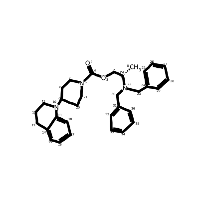 C[C@@H](COC(=O)N1CCC(N2CCCc3ccccc32)CC1)N(Cc1ccccc1)Cc1ccccc1